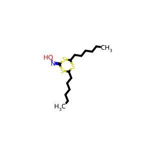 CCCCCCC1SC(=NO)SC(CCCCCC)S1